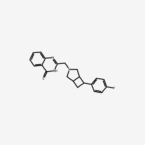 Fc1ccc(C2CC3CN(Cc4nc5ccccc5c(=S)[nH]4)CC32)cc1